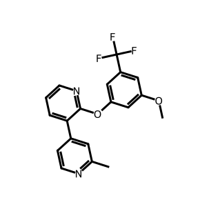 COc1cc(Oc2ncccc2-c2ccnc(C)c2)cc(C(F)(F)F)c1